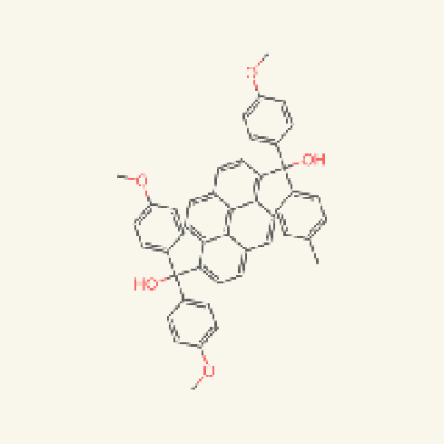 COc1ccc(C(O)(c2ccc(C)cc2)c2ccc3ccc4c(C(O)(c5ccc(OC)cc5)c5ccc(OC)cc5)ccc5ccc2c3c54)cc1